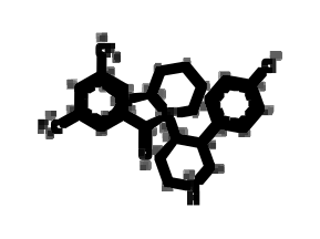 CN(C)[C@H]1CCCC[N@+]1(C(=O)c1cc(C(F)(F)F)cc(C(F)(F)F)c1)[C@@H]1CCNCC1c1ccc(Cl)cc1